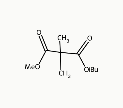 COC(=O)C(C)(C)C(=O)OCC(C)C